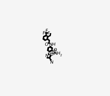 CCc1c(CC(=O)Nc2ccc(-n3cc(C#N)cn3)c(S(N)(=O)=O)c2)cccc1C(F)(F)F